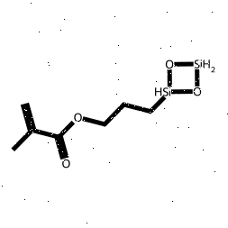 C=C(C)C(=O)OCCC[SiH]1O[SiH2]O1